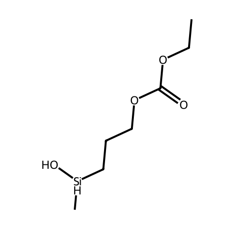 CCOC(=O)OCCC[SiH](C)O